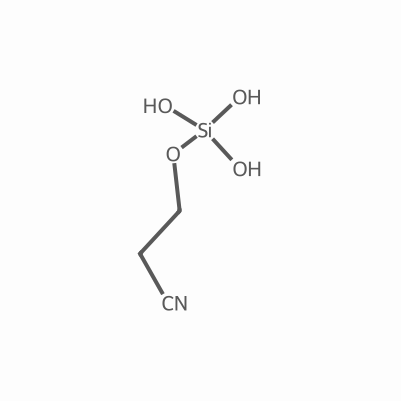 N#CCCO[Si](O)(O)O